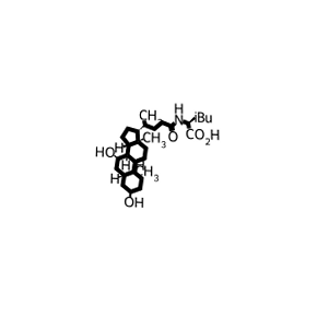 CCC(C)[C@H](NC(=O)CCC(C)[C@H]1CC[C@H]2[C@@H]3[C@@H](O)C[C@@H]4C[C@H](O)CC[C@]4(C)[C@H]3CC[C@]12C)C(=O)O